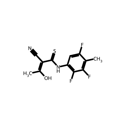 CC(O)=C(C#N)C(=S)Nc1cc(F)c(C)c(F)c1F